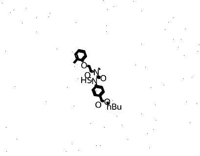 CCCCOC(=O)c1ccc(N(S)C(=O)N(C)C(=O)COc2ccccc2C)cc1